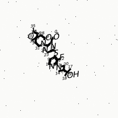 COC(=O)c1nc(Sc2ccnc(N3CC(C(C)(C)O)C3)c2F)cnc1N1CCC2(CC1)CO[C@@H](C)C2